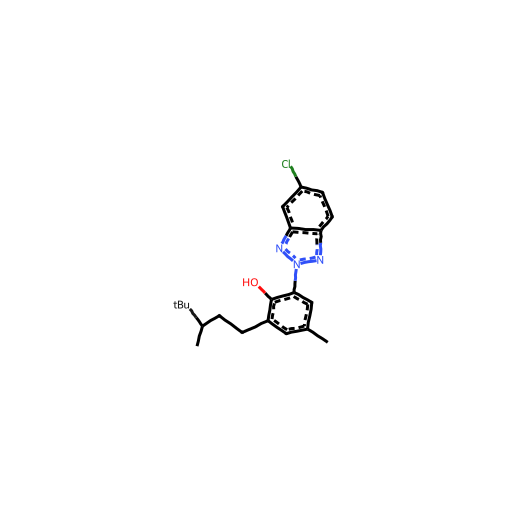 Cc1cc(CCC(C)C(C)(C)C)c(O)c(-n2nc3ccc(Cl)cc3n2)c1